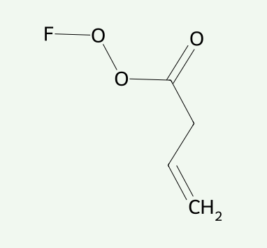 C=CCC(=O)OOF